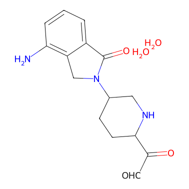 Nc1cccc2c1CN(C1CCC(C(=O)C=O)NC1)C2=O.O.O